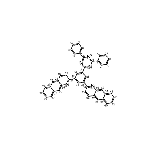 c1ccc(-c2nc(-c3ccccc3)nc(-c3cc(-c4ccc5cc6ccccc6cc5n4)cc(-c4ccc5cc6ccccc6cc5n4)c3)n2)cc1